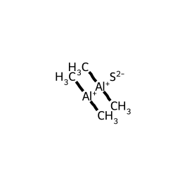 [CH3][Al+][CH3].[CH3][Al+][CH3].[S-2]